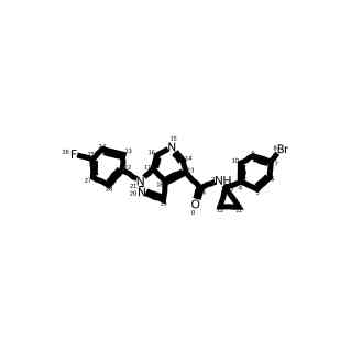 O=C(NC1(c2ccc(Br)cc2)CC1)c1cncc2c1cnn2-c1ccc(F)cc1